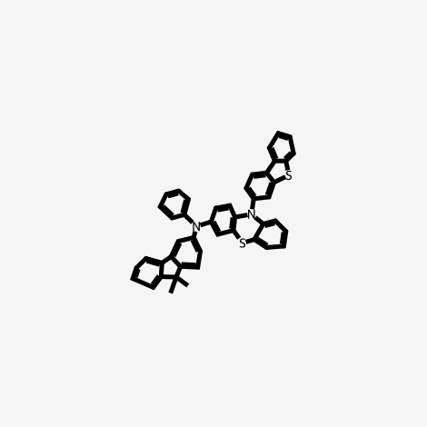 CC1(C)c2ccccc2-c2cc(N(c3ccccc3)c3ccc4c(c3)Sc3ccccc3N4c3ccc4c(c3)sc3ccccc34)ccc21